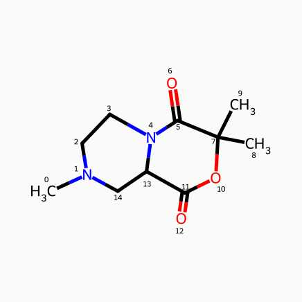 CN1CCN2C(=O)C(C)(C)OC(=O)C2C1